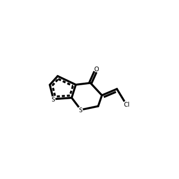 O=C1/C(=C/Cl)CSc2sccc21